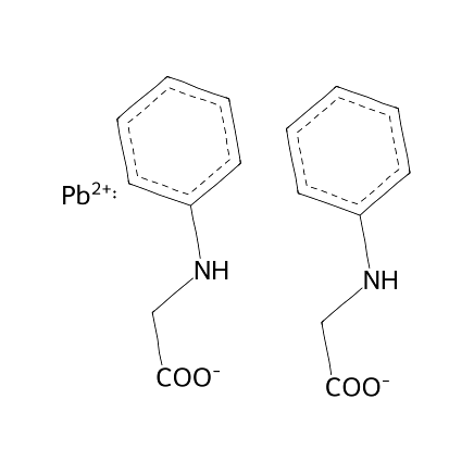 O=C([O-])CNc1ccccc1.O=C([O-])CNc1ccccc1.[Pb+2]